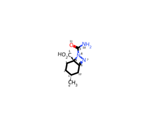 C[C@@H]1CC[C@@]2(C(=O)O)C(=NN2C(N)=O)C1